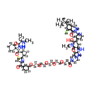 CN[C@@H](C)C(=O)N[C@H](C(=O)C1CCC[C@H]1c1nc(C(=O)c2cccc(OCCOCCOCCOCCOCCC(=O)N3CCn4nc(Nc5cc(-c6ccnc(-n7ncc8cc(C(C)(C)C)cc(F)c8c7=O)c6CO)cn(C)c5=O)cc4C3)c2)cs1)C1CCCCC1